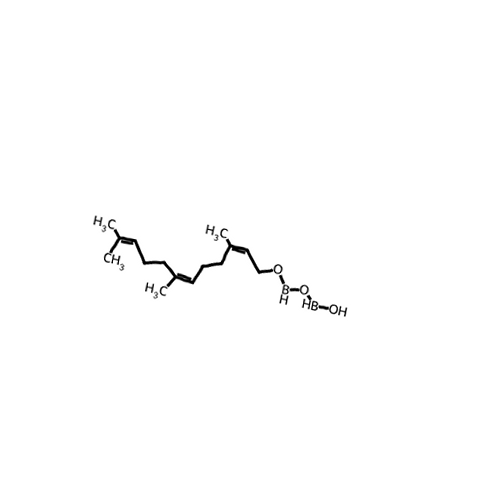 CC(C)=CCCC(C)=CCCC(C)=CCOBOBO